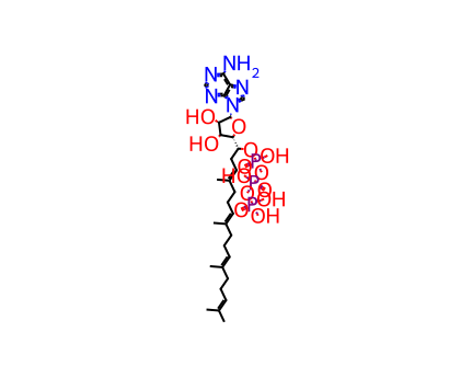 CC(C)=CCC/C(C)=C/CC/C(C)=C/CC/C(C)=C/CC(OP(=O)(O)OP(=O)(O)OP(=O)(O)O)[C@H]1O[C@@H](n2cnc3c(N)ncnc32)[C@H](O)[C@@H]1O